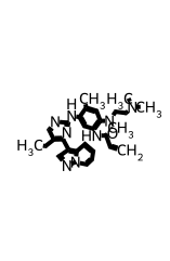 C=CC(=O)Nc1cc(Nc2ncc(CC)c(-c3cnn4ccccc34)n2)c(C)cc1N(C)CCN(C)C